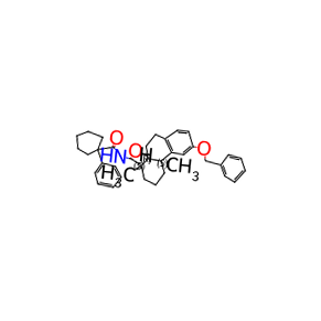 C[C@]1(C(=O)NC(=O)C2(c3ccccc3)CCCCC2)CCC[C@]2(C)c3cc(OCc4ccccc4)ccc3CC[C@@H]12